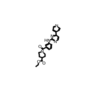 CCOC(=O)C1CCN(C(=O)c2cccc(Nc3nccc(-c4ccncc4)n3)c2)CC1